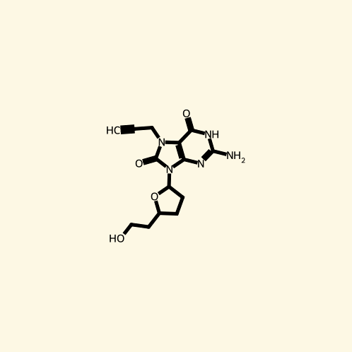 C#CCn1c(=O)n(C2CCC(CCO)O2)c2nc(N)[nH]c(=O)c21